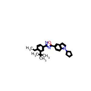 CCc1ccc(-c2noc(-c3ccc4c(ccn4C4CCCC4)c3)n2)cc1C(C)(C)C